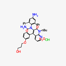 CCCCn1c(=O)c(N(C(N)=O)c2c(C(C)C)cc(N)cc2C(C)C)c(-c2cccc(OCCCO)c2)c2cccnc21.Cl.O